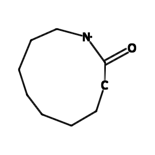 O=C1CCCCCCCC[N]1